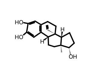 C=C[C@@]12CCc3cc(O)c(O)cc3[C@H]1CC[C@@]1(C)[C@H]2CC[C@@H]1O